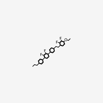 CCCc1ccc(-c2ccc(-c3ccc(CCc4ccc(OCC)c(F)c4F)cc3)c(F)c2F)cc1